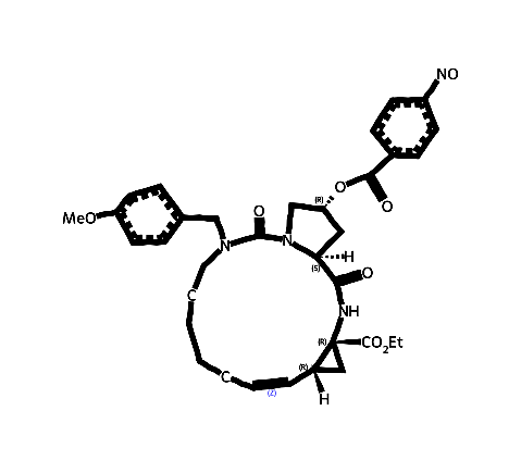 CCOC(=O)[C@@]12C[C@@H]1/C=C\CCCCCN(Cc1ccc(OC)cc1)C(=O)N1C[C@H](OC(=O)c3ccc(N=O)cc3)C[C@H]1C(=O)N2